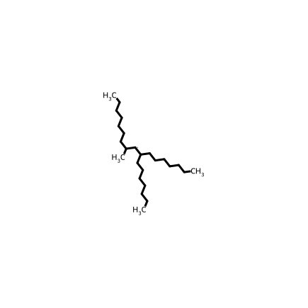 CCCCCCCC(C)[CH]C(CCCCCCC)CCCCCCC